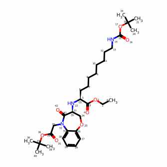 CCOC(=O)[C@H](CCCCCCCCNC(=O)OC(C)(C)C)N[C@H]1COc2ccccc2N(CC(=O)OC(C)(C)C)C1=O